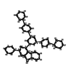 c1ccc(-c2nc(-c3cc(-c4ccc(-c5ccccn5)cc4)cc(-c4ccc(-c5ccccn5)cc4)c3)c3c(n2)oc2ccccc23)cc1